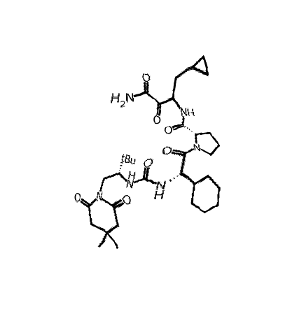 CC1(C)CC(=O)N(C[C@@H](NC(=O)N[C@H](C(=O)N2CCC[C@H]2C(=O)NC(CC2CC2)C(=O)C(N)=O)C2CCCCC2)C(C)(C)C)C(=O)C1